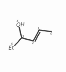 CC=CC(O)CC